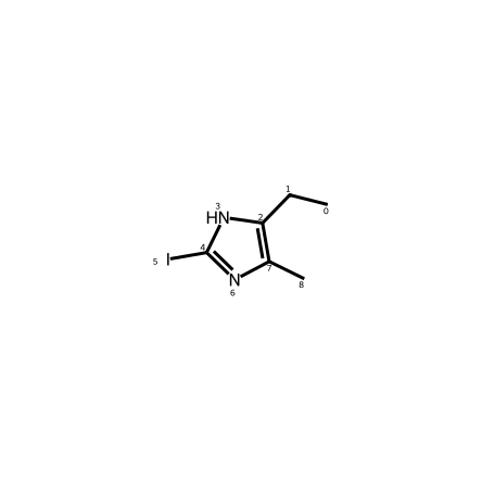 CCc1[nH]c(I)nc1C